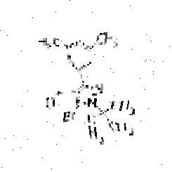 Cc1cc(C)cc(-c2nn(C(C)(C)C)c(Br)c2C=O)c1